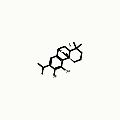 CC(C)c1cc2c(c(O)c1O)[C@@]13CCCC(C)(C)[C@@H]1CC2OC3=O